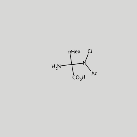 CCCCCCC(N)(C(=O)O)N(Cl)C(C)=O